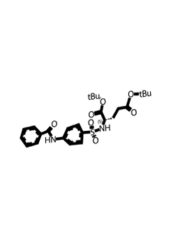 CC(C)(C)OC(=O)CC[C@H](NS(=O)(=O)c1ccc(NC(=O)c2ccccc2)cc1)C(=O)OC(C)(C)C